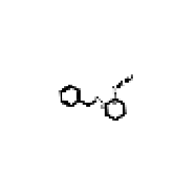 S=C=N[C@H]1CCCC[C@@H]1OCc1ccccc1